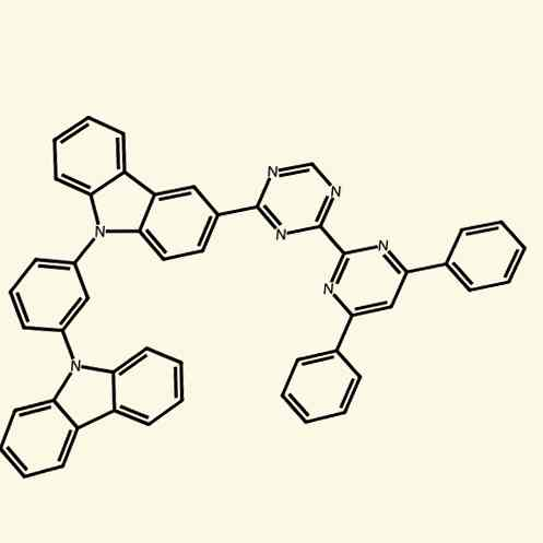 c1ccc(-c2cc(-c3ccccc3)nc(-c3ncnc(-c4ccc5c(c4)c4ccccc4n5-c4cccc(-n5c6ccccc6c6ccccc65)c4)n3)n2)cc1